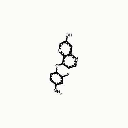 Nc1ccc(Oc2ccnc3cc(O)cnc23)c(F)c1